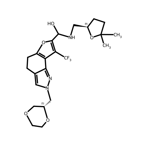 CC1(C)CC[C@H](CNC(O)c2oc3c(c2C(F)(F)F)-c2nn(C[C@H]4COCCO4)cc2CC3)O1